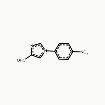 O=Cc1cn(-c2ccc([N+](=O)[O-])cc2)cn1